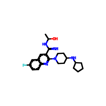 CC(O)NC(=N)c1cc2cc(F)ccc2nc1N1CCC(NC2CCCC2)CC1